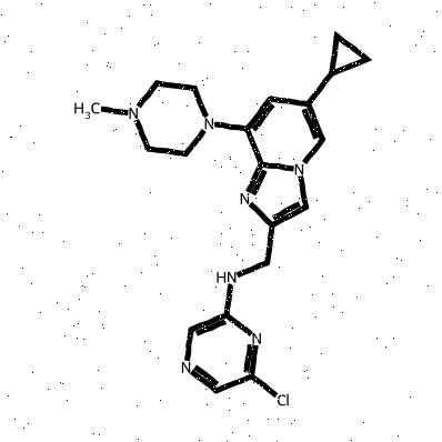 CN1CCN(c2cc(C3CC3)cn3cc(CNc4cncc(Cl)n4)nc23)CC1